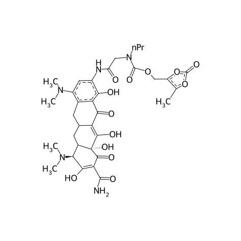 CCCN(CC(=O)Nc1cc(N(C)C)c2c(c1O)C(=O)C1=C(O)[C@@]3(O)C(=O)C(C(N)=O)=C(O)[C@@H](N(C)C)C3CC1C2)C(=O)OCc1oc(=O)oc1C